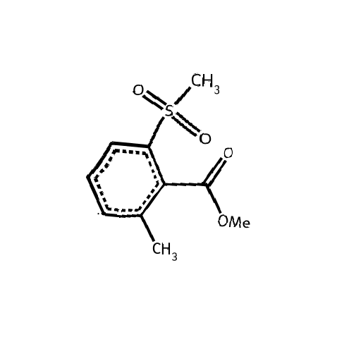 COC(=O)c1c(C)[c]ccc1S(C)(=O)=O